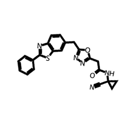 N#CC1(NC(=O)Cc2nnc(Cc3ccc4nc(-c5ccccc5)sc4c3)o2)CC1